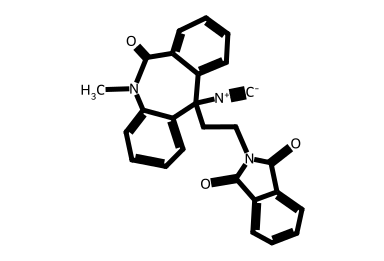 [C-]#[N+]C1(CCN2C(=O)c3ccccc3C2=O)c2ccccc2C(=O)N(C)c2ccccc21